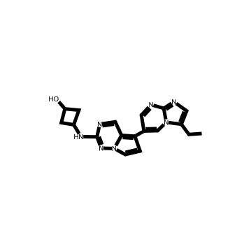 CCc1cnc2ncc(-c3ccn4nc(NC5CC(O)C5)ncc34)cn12